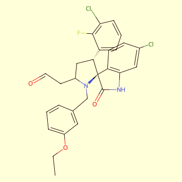 CCOc1cccc(CN2C(CC=O)C[C@H](c3cccc(Cl)c3F)[C@]23C(=O)Nc2cc(Cl)ccc23)c1